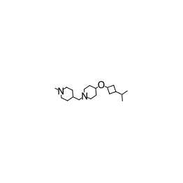 CC(C)C1CC(OC2CCN(CC3CCN(C)CC3)CC2)C1